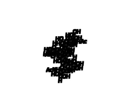 CC(=O)N[C@H]1[C@H](O[C@@H]2[C@H](O[C@H]3O[C@H](CO)[C@H](O)[C@H](O[C@@H]4O[C@H](CO)[C@@H](O[C@@H]5O[C@H](CO)[C@H](O)[C@H](O[C@]6(C(=O)O)C[C@H](O)[C@@H](NC(C)=O)[C@H]([C@H](O)[C@H](O)CO)O6)[C@H]5O)[C@H](O[C@@H]5O[C@@H](C)[C@@H](O)[C@@H](O)[C@@H]5O)[C@H]4NC(C)=O)[C@H]3O)[C@@H](O)[C@H](O[C@H]3[C@H](O)[C@@H](O)[C@H](O)O[C@@H]3CO)O[C@@H]2CO)O[C@H](CO)[C@H](O)[C@@H]1O